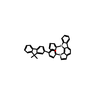 CC1(C)c2ccccc2-c2ccc(-c3ccc(-n4ccc5ccc6c7ccccc7n(-c7ccccc7)c6c54)cc3)cc21